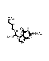 CC(=O)Nc1nc2ncn(C(OCCCOC(C)=O)OC(C)=O)c2c(=O)[nH]1